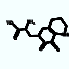 NC(CC1CC2=C(NCCC2)C(=O)C1=O)C(=O)O